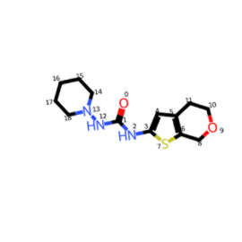 O=C(Nc1cc2c(s1)COCC2)NN1CCCCC1